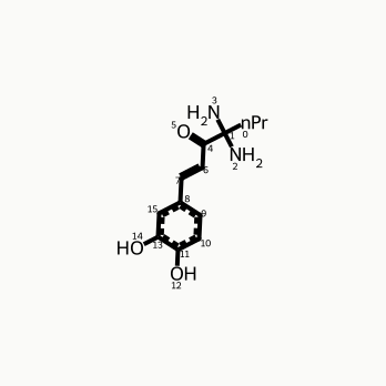 CCCC(N)(N)C(=O)C=Cc1ccc(O)c(O)c1